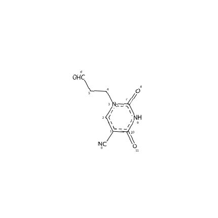 N#Cc1cn(CCC=O)c(=O)[nH]c1=O